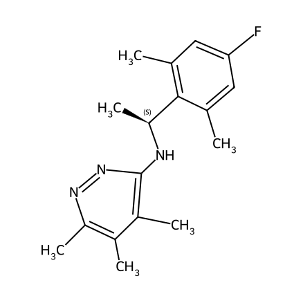 Cc1cc(F)cc(C)c1[C@H](C)Nc1nnc(C)c(C)c1C